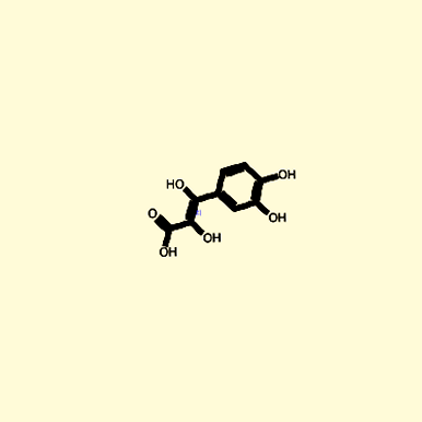 O=C(O)/C(O)=C(\O)c1ccc(O)c(O)c1